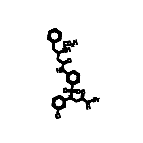 CC(C)NC(=O)CN(c1cccc(Cl)c1)S(=O)(=O)c1cccc(NC(=O)CC(Cc2ccccc2)NC(=O)O)c1